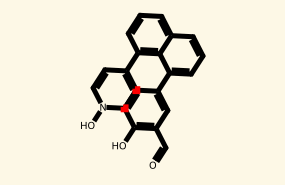 O=Cc1cc(-c2cccc3cccc(C4=CCN(O)C=C4)c23)ccc1O